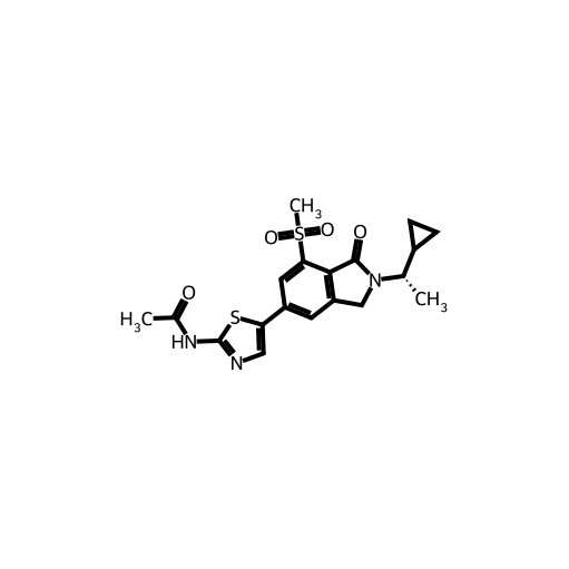 CC(=O)Nc1ncc(-c2cc3c(c(S(C)(=O)=O)c2)C(=O)N([C@@H](C)C2CC2)C3)s1